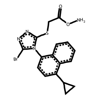 NOC(=O)CSc1nnc(Br)n1-c1ccc(C2CC2)c2ccccc12